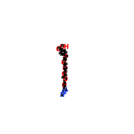 [N-]=[N+]=NCCOCCOCCOCCOCCOCCOc1ccc(C(=O)O)cc1